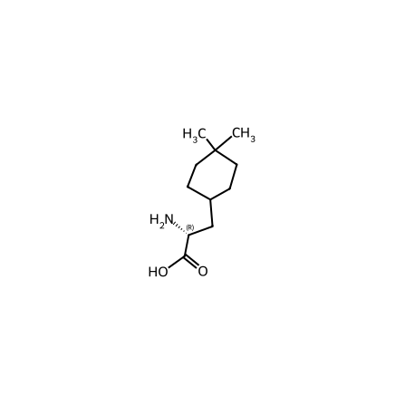 CC1(C)CCC(C[C@@H](N)C(=O)O)CC1